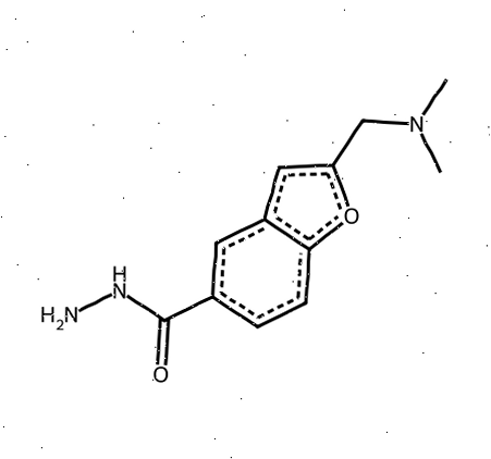 CN(C)Cc1cc2cc(C(=O)NN)ccc2o1